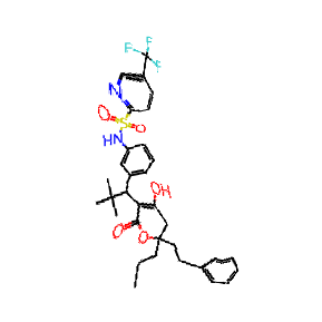 CCCC1(CCc2ccccc2)CC(O)=C(C(c2cccc(NS(=O)(=O)c3ccc(C(F)(F)F)cn3)c2)C(C)(C)C)C(=O)O1